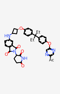 CCC(CC)(c1ccc(Oc2cnc(C(C)=O)cn2)cc1)c1ccc(O[C@H]2C[C@H](Nc3ccc4c(c3)C(=O)N(C3CCC(=O)NC3=O)C4=O)C2)cc1